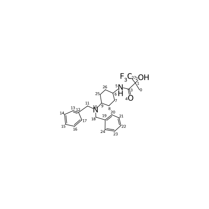 CC(O)(C(=O)NC1CCC(N(Cc2ccccc2)Cc2ccccc2)CC1)C(F)(F)F